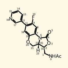 CC(=O)NC[C@@H]1OC(=O)N2c3cc(F)c(-c4cccnc4)cc3OC[C@@H]12